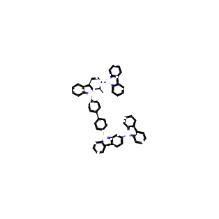 CC1c2c(c3ccccc3n2-c2ccc(-c3ccc(-n4c5ccccc5c5ccc(-n6c7ccccc7c7ccccc76)cc54)cc3)cc2)C=CC1n1c2ccccc2c2ccccc21